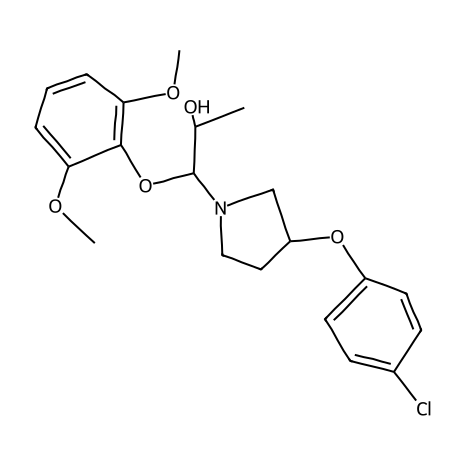 COc1cccc(OC)c1OC(C(C)O)N1CCC(Oc2ccc(Cl)cc2)C1